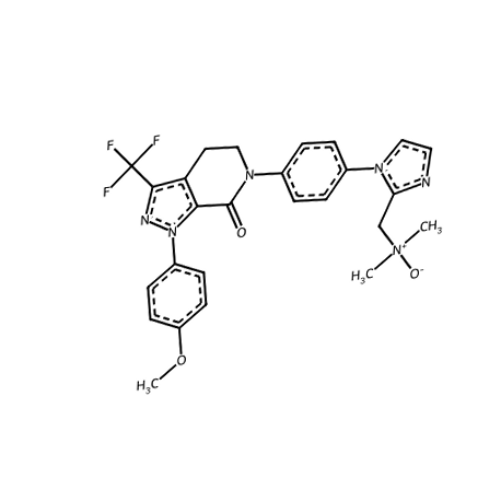 COc1ccc(-n2nc(C(F)(F)F)c3c2C(=O)N(c2ccc(-n4ccnc4C[N+](C)(C)[O-])cc2)CC3)cc1